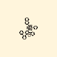 c1ccc(-c2nc(-c3ccc4ccccc4c3)nc(-c3ccc(-c4ccccc4-c4ccccc4)c4oc5ccccc5c34)n2)cc1